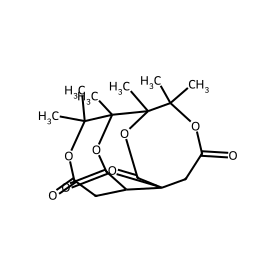 CC1(C)OC(=O)CC2C(=O)OC1(C)C1(C)OC(=O)C2CC(=O)OC1(C)C